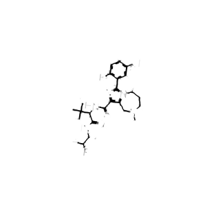 CN1CCCn2c(-c3cc(Cl)ccc3F)nc(C(=O)NC(C(=O)NCC(F)F)C(C)(C)C)c2C1